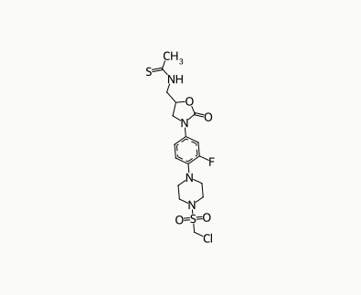 CC(=S)NCC1CN(c2ccc(N3CCN(S(=O)(=O)CCl)CC3)c(F)c2)C(=O)O1